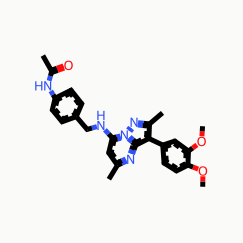 COc1ccc(-c2c(C)nn3c(NCc4ccc(NC(C)=O)cc4)cc(C)nc23)cc1OC